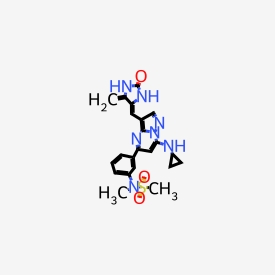 C=c1[nH]c(=O)[nH]/c1=C\c1cnn2c(NC3CC3)cc(-c3cccc(N(C)S(C)(=O)=O)c3)nc12